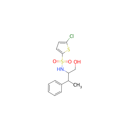 CC(c1ccccc1)C(CO)NS(=O)(=O)c1ccc(Cl)s1